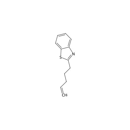 [CH]=CCCCc1nc2ccccc2s1